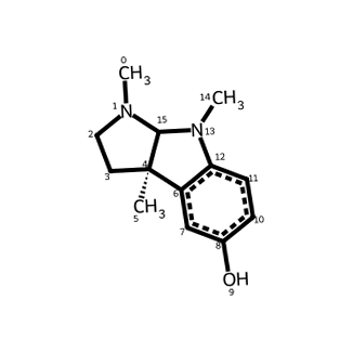 CN1CC[C@]2(C)c3cc(O)ccc3N(C)C12